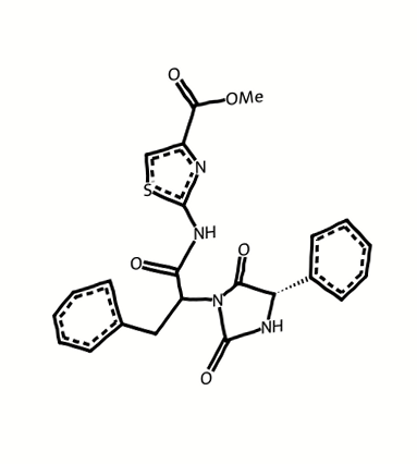 COC(=O)c1csc(NC(=O)C(Cc2ccccc2)N2C(=O)N[C@@H](c3ccccc3)C2=O)n1